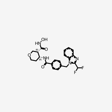 O=C(N[C@@H]1CCOC[C@@H]1C(=O)NO)c1ccc(Cn2c(C(F)F)nc3ccccc32)cc1